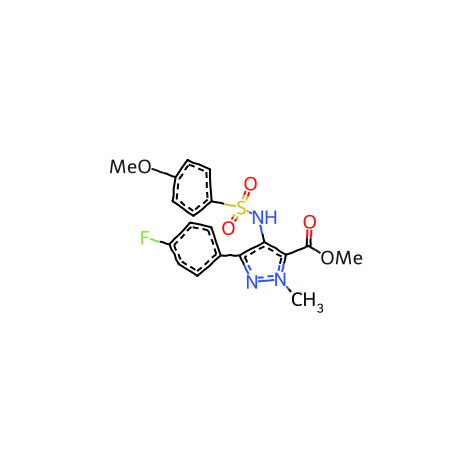 COC(=O)c1c(NS(=O)(=O)c2ccc(OC)cc2)c(-c2ccc(F)cc2)nn1C